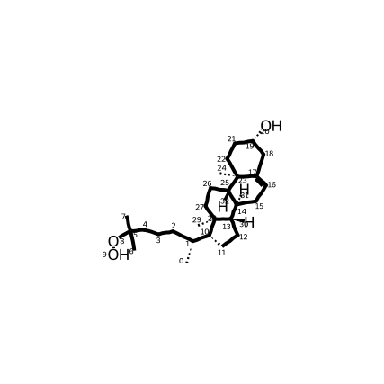 C[C@H](CCCC(C)(C)OO)[C@H]1CC[C@H]2[C@@H]3CC=C4C[C@@H](O)CC[C@]4(C)[C@H]3CC[C@]12C